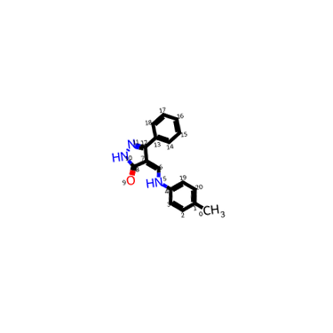 Cc1ccc(NC=C2C(=O)NN=C2c2ccccc2)cc1